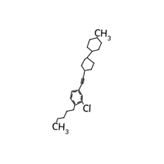 CCCCCc1ccc(C#CC2CCC(C3CCC(C)CC3)CC2)cc1Cl